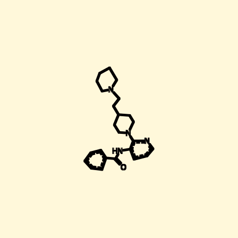 O=C(Nc1cccnc1N1CCC(CCN2CCCCC2)CC1)c1ccccc1